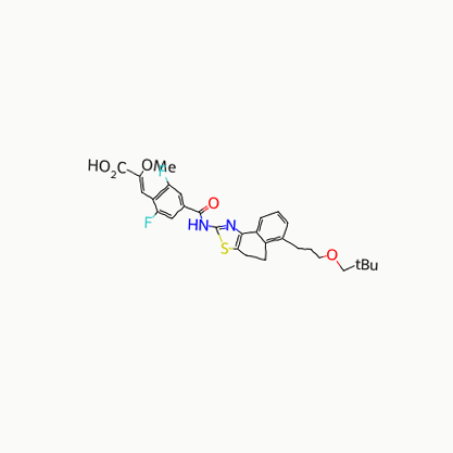 CO/C(=C\c1c(F)cc(C(=O)Nc2nc3c(s2)CCc2c(CCCOCC(C)(C)C)cccc2-3)cc1F)C(=O)O